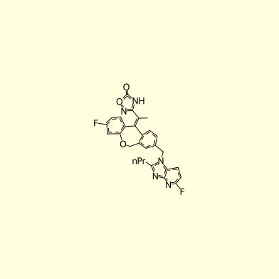 CCCc1nc2nc(F)ccc2n1Cc1ccc2c(c1)COc1cc(F)ccc1/C2=C(/C)c1noc(=O)[nH]1